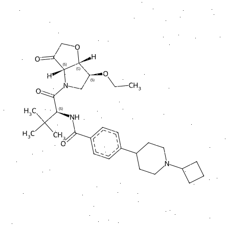 CCO[C@H]1CN(C(=O)[C@@H](NC(=O)c2ccc(C3CCN(C4CCC4)CC3)cc2)C(C)(C)C)[C@@H]2C(=O)CO[C@H]12